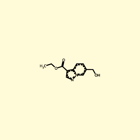 CCOC(=O)c1cnn2cc(CO)ccc12